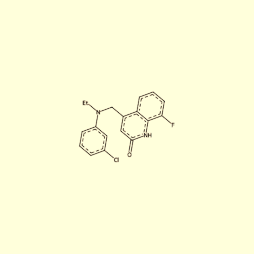 CCN(Cc1cc(=O)[nH]c2c(F)cccc12)c1cccc(Cl)c1